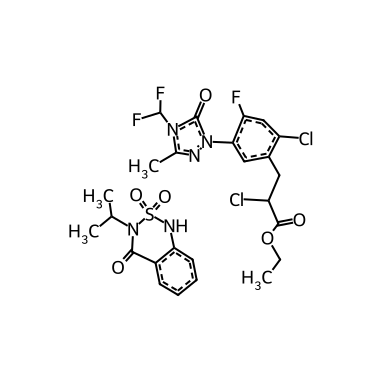 CC(C)N1C(=O)c2ccccc2NS1(=O)=O.CCOC(=O)C(Cl)Cc1cc(-n2nc(C)n(C(F)F)c2=O)c(F)cc1Cl